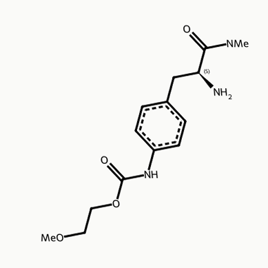 CNC(=O)[C@@H](N)Cc1ccc(NC(=O)OCCOC)cc1